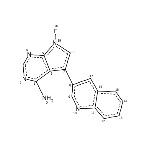 Nc1ncnc2c1c(-c1cnc3ccccc3c1)cn2F